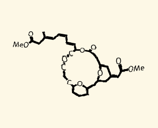 COC(=O)/C=C1\CC2CC(=O)OC(/C=C/C=C\C=C(/C)CC(=O)OC)COCCCC3CCCC(CC(C1)O2)O3